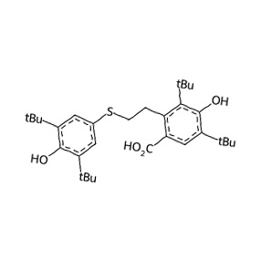 CC(C)(C)c1cc(SCCc2c(C(=O)O)cc(C(C)(C)C)c(O)c2C(C)(C)C)cc(C(C)(C)C)c1O